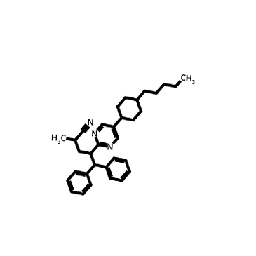 CCCCCC1CCC(c2cnc(C(CC(C)C#N)C(c3ccccc3)c3ccccc3)nc2)CC1